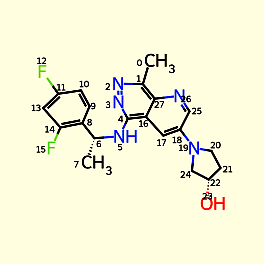 Cc1nnc(N[C@H](C)c2ccc(F)cc2F)c2cc(N3CC[C@H](O)C3)cnc12